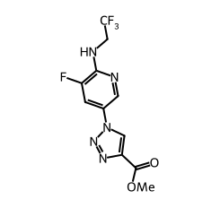 COC(=O)c1cn(-c2cnc(NCC(F)(F)F)c(F)c2)nn1